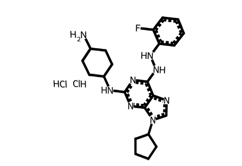 Cl.Cl.NC1CCC(Nc2nc(NNc3ccccc3F)c3ncn(C4CCCC4)c3n2)CC1